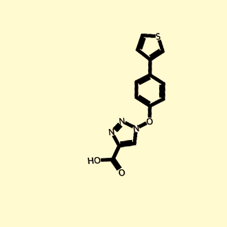 O=C(O)c1cn(Oc2ccc(-c3ccsc3)cc2)nn1